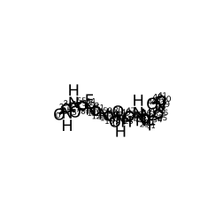 O=C1CCC(Nc2ccc(N3CCC(N4CCC(O)(C(=O)N[C@H]5CC[C@H](Nc6ncc(F)c(-c7cccc(-n8ccccc8=O)c7)n6)CC5)CC4)CC3)c(F)c2)C(=O)N1